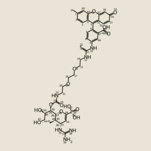 Cc1ccc2c(-c3ccc(NC(=S)NCCOCCOCCNC(=O)O[C@@H]([C@@H]4OC(P(=O)(O)O)=C[C@H](NC(=N)N)[C@H]4C)[C@H](O)CO)cc3C(=O)O)c3ccc(=O)cc-3oc2c1